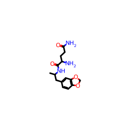 CC(Cc1ccc2c(c1)OCO2)NC(=O)C(N)CCC(N)=O